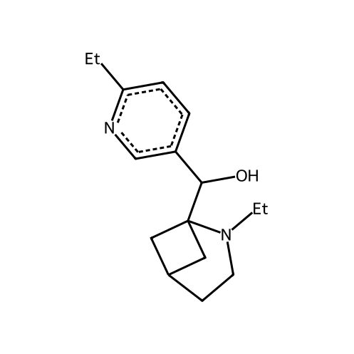 CCc1ccc(C(O)C23CC(CCN2CC)C3)cn1